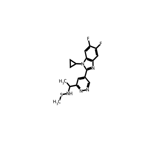 CSNC(C)c1cc(-c2nc3cc(F)c(F)cc3n2C2CC2)cnn1